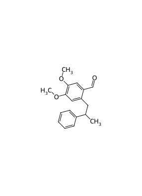 COc1cc(C=O)c(CC(C)c2ccccc2)cc1OC